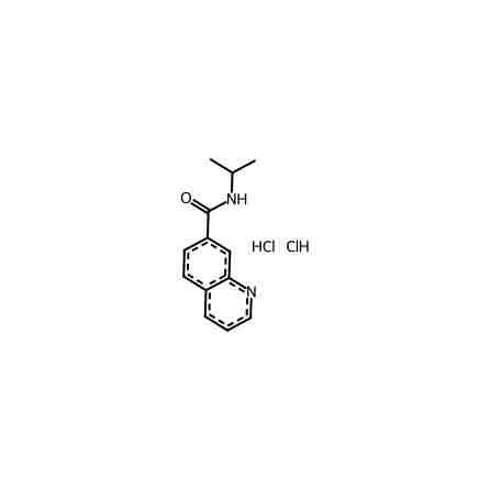 CC(C)NC(=O)c1ccc2cccnc2c1.Cl.Cl